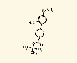 CNc1ccc(C2=CCN(C(=O)OC(C)(C)C)CC2)c(C)c1